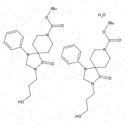 CC(C)(C)OC(=O)N1CCC2(CC1)C(=O)N(CCCO)CN2c1ccccc1.CC(C)(C)OC(=O)N1CCC2(CC1)C(=O)N(CCCO)CN2c1ccccc1.O